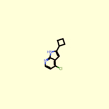 Clc1ccnc2[nH]c(C3CCC3)cc12